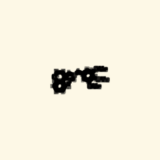 COc1cc(COCC2(N(C)C)CCOc3ccccc32)cc(OC)c1OC